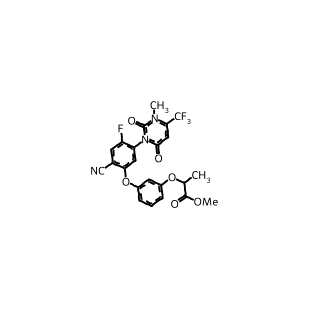 COC(=O)C(C)Oc1cccc(Oc2cc(-n3c(=O)cc(C(F)(F)F)n(C)c3=O)c(F)cc2C#N)c1